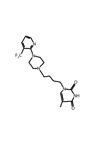 Cc1cn(CCCCN2CCN(c3ncccc3C(F)(F)F)CC2)c(=O)[nH]c1=O